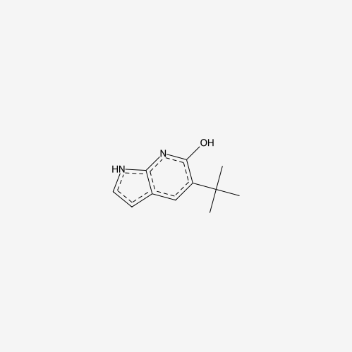 CC(C)(C)c1cc2cc[nH]c2nc1O